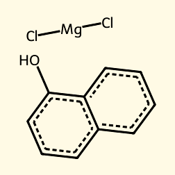 Oc1cccc2ccccc12.[Cl][Mg][Cl]